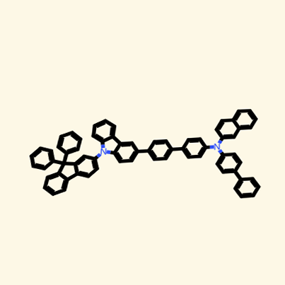 c1ccc(-c2ccc(N(c3ccc(-c4ccc(-c5ccc6c(c5)c5ccccc5n6-c5ccc6c(c5)C(c5ccccc5)(c5ccccc5)c5ccccc5-6)cc4)cc3)c3ccc4ccccc4c3)cc2)cc1